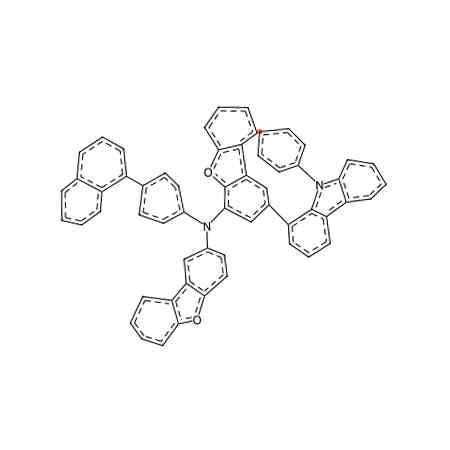 c1ccc(-n2c3ccccc3c3cccc(-c4cc(N(c5ccc(-c6cccc7ccccc67)cc5)c5ccc6oc7ccccc7c6c5)c5oc6ccccc6c5c4)c32)cc1